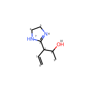 C=CC(C1=NCCN1)C(C)O